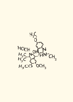 CCNc1nc2ccc(OCC)cc2cc1Cc1c(O)nc(C(C)C)c2cc(OC)c(OC)cc12.Cl.Cl